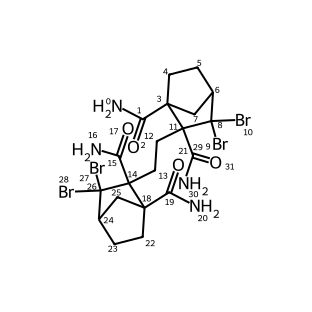 NC(=O)C12CCC(C1)C(Br)(Br)C2(CCC1(C(N)=O)C2(C(N)=O)CCC(C2)C1(Br)Br)C(N)=O